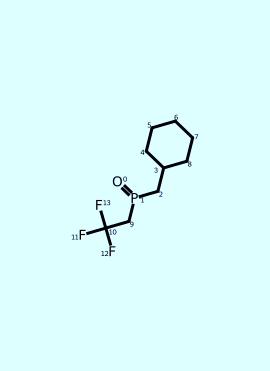 O=[P](CC1CCCCC1)CC(F)(F)F